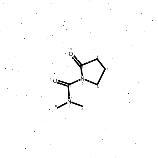 CN(C)C(=O)N1CCCC1=O